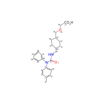 Cc1ccc(N(C(=O)NCC2CCC(COCC(=O)O)CC2)c2ccccc2)cc1